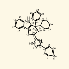 Fc1ccc(-c2n[nH]c([C@H]3Cc4c([nH]c5ccccc45)C(c4ccccn4)(C4CCCCC4)N3)n2)cc1